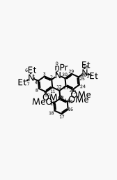 CCCN1c2cc(N(CC)CC)cc(OC)c2C(c2c(OC)cccc2OC)c2c(OC)cc(N(CC)CC)cc21